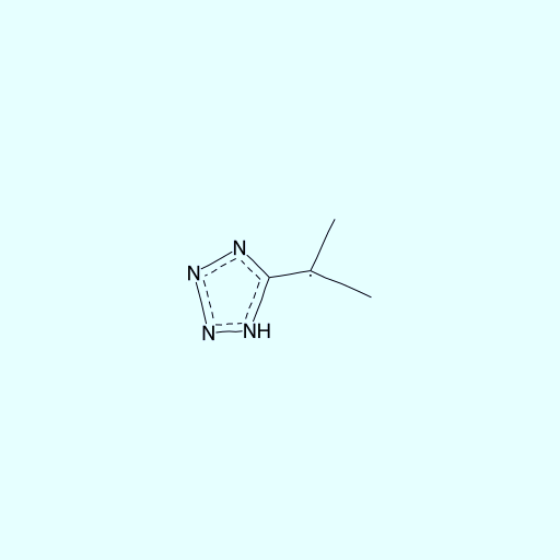 C[C](C)c1nnn[nH]1